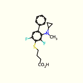 CN(c1c(-c2ccccc2)cc(F)c(SCCCC(=O)O)c1F)C1CC1